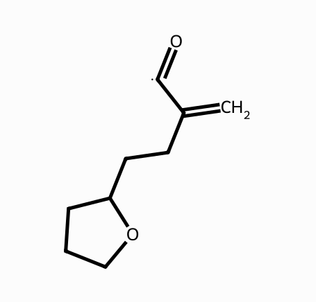 C=C([C]=O)CCC1CCCO1